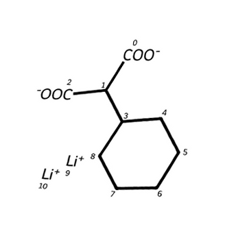 O=C([O-])C(C(=O)[O-])C1CCCCC1.[Li+].[Li+]